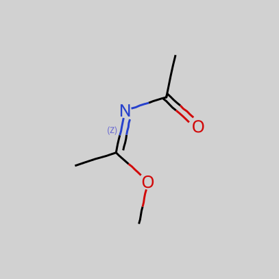 CO/C(C)=N\C(C)=O